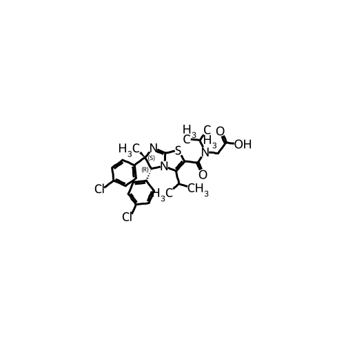 CC(C)C1=C(C(=O)N(CC(=O)O)C(C)C)SC2=N[C@@](C)(c3ccc(Cl)cc3)[C@@H](c3ccc(Cl)cc3)N21